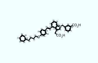 O=C(O)Cc1cn(Cc2cccc(C(=O)O)c2)c2cccc(C=Cc3ccc(OCCCCc4ccccc4)cc3)c12